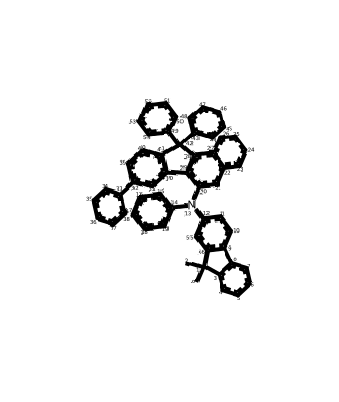 CC1(C)c2ccccc2-c2ccc(N(c3ccccc3)c3cc4ccccc4c4c3-c3cc(-c5ccccc5)ccc3C4(c3ccccc3)c3ccccc3)cc21